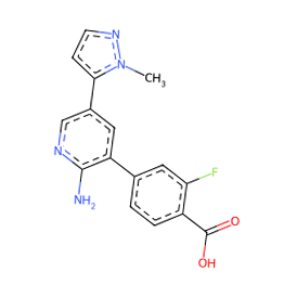 Cn1nccc1-c1cnc(N)c(-c2ccc(C(=O)O)c(F)c2)c1